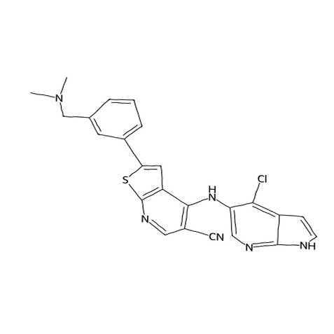 CN(C)Cc1cccc(-c2cc3c(Nc4cnc5[nH]ccc5c4Cl)c(C#N)cnc3s2)c1